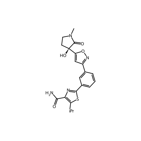 CC(C)c1sc(-c2cccc(-c3cc([C@]4(O)CCN(C)C4=O)on3)c2)nc1C(N)=O